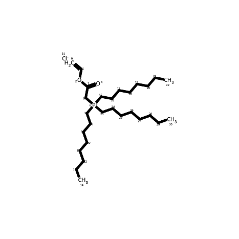 C=COC(=O)C[P+](CCCCCCCC)(CCCCCCCC)CCCCCCCC.[Cl-]